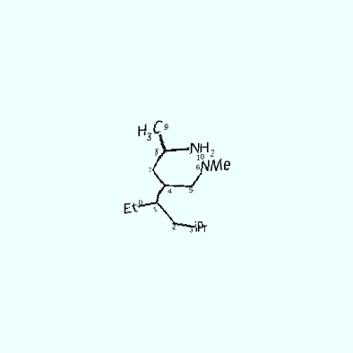 CCC(CC(C)C)C(CNC)CC(C)N